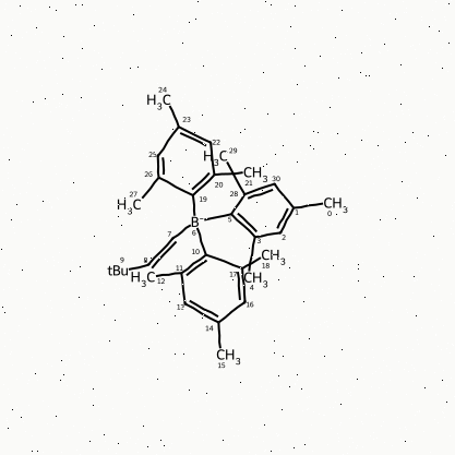 Cc1cc(C)c([B-](C=CC(C)(C)C)(c2c(C)cc(C)cc2C)c2c(C)cc(C)cc2C)c(C)c1